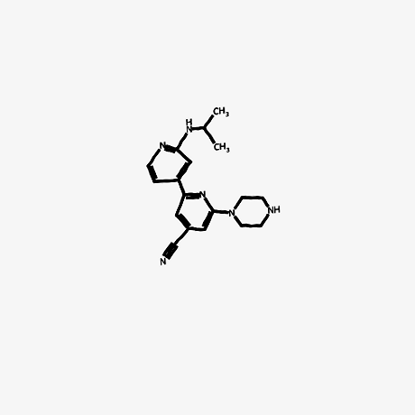 CC(C)Nc1cc(-c2cc(C#N)cc(N3CCNCC3)n2)ccn1